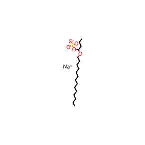 CCCCCCCCCCCCCCOC(CCC)OS(=O)(=O)[O-].[Na+]